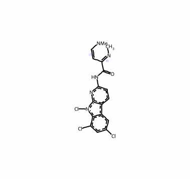 C/N=C(\C=C/NC)C(=O)Nc1ccc2c3cc(Cl)cc(Cl)c3n(Cl)c2n1